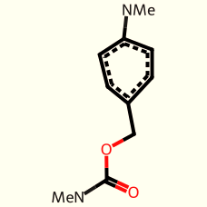 CNC(=O)OCc1ccc(NC)cc1